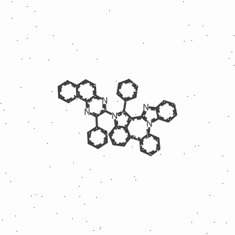 c1ccc(-c2nc3c(ccc4ccccc43)nc2-n2c(-c3ccccc3)c3c4c(cccc42)c2ccccc2n2c4ccccc4nc32)cc1